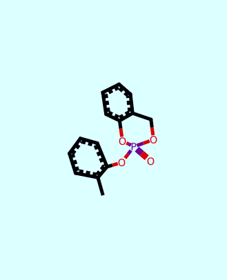 Cc1ccccc1OP1(=O)OCc2ccccc2O1